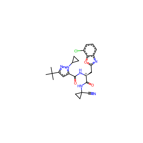 CC(C)(C)c1cc(C(=O)N[C@@H](Cc2nc3cccc(Cl)c3o2)C(=O)NC2(C#N)CC2)n(C2CC2)n1